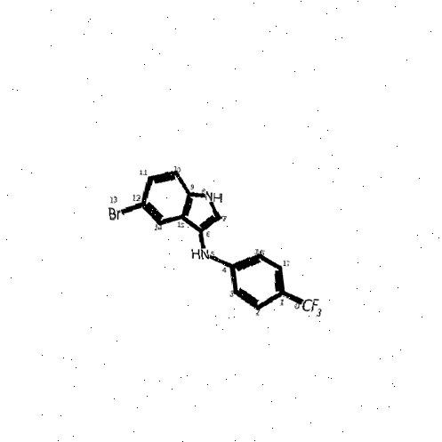 FC(F)(F)c1ccc(Nc2c[nH]c3ccc(Br)cc23)cc1